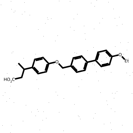 CCOc1ccc(-c2ccc(COc3ccc(C(C)CC(=O)O)cc3)cc2)cc1